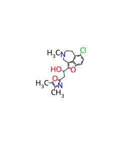 Cc1nc(CC(O)c2oc3ccc(Cl)c4c3c2CN(C)CC4)oc1C